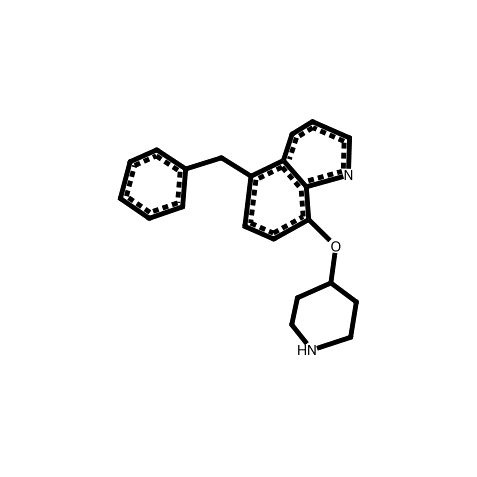 c1ccc(Cc2ccc(OC3CCNCC3)c3ncccc23)cc1